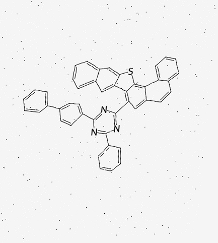 c1ccc(-c2ccc(-c3nc(-c4ccccc4)nc(-c4cc5ccc6ccccc6c5c5sc6cc7ccccc7cc6c45)n3)cc2)cc1